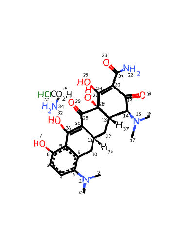 CN(C)c1ccc(O)c2c1C[C@H]1C[C@H]3[C@H](N(C)C)C(=O)C(C(N)=O)=C(O)[C@@]3(O)C(=O)C1=C2O.Cl.NC(=O)O